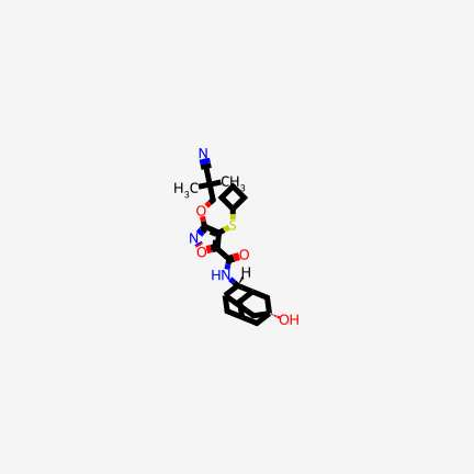 CC(C)(C#N)COc1noc(C(=O)N[C@H]2C3CC4CC2C[C@](O)(C4)C3)c1SC1CCC1